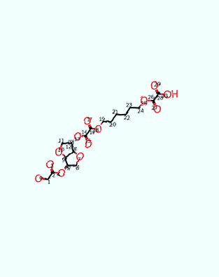 O=CC(=O)O[C@@H]1COC2C1OC[C@@H]2OC(=O)C(=O)OCCCCCCOC(=O)C(=O)O